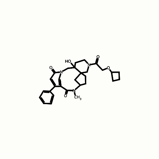 CN1C(=O)c2cn(c(=O)cc2-c2ccccc2)CC2(O)CCN(C(=O)COC3CCC3)CC23CCC1C3